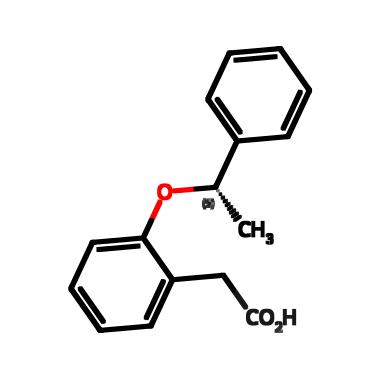 C[C@H](Oc1ccccc1CC(=O)O)c1ccccc1